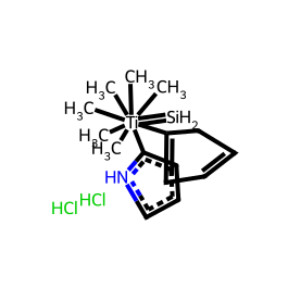 Cl.Cl.[CH3][Ti]([CH3])([CH3])([CH3])([CH3])([CH3])(=[SiH2])([C]1=CC=CC1)[c]1ccc[nH]1